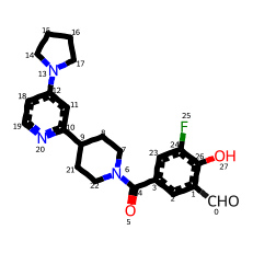 O=Cc1cc(C(=O)N2CCC(c3cc(N4CCCC4)ccn3)CC2)cc(F)c1O